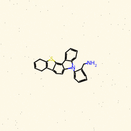 NCc1ccccc1-n1c2ccccc2c2c3sc4c(c3ccc21)CC=CC4